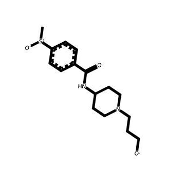 C[S+]([O-])c1ccc(C(=O)NC2CCN(CCC[O])CC2)cc1